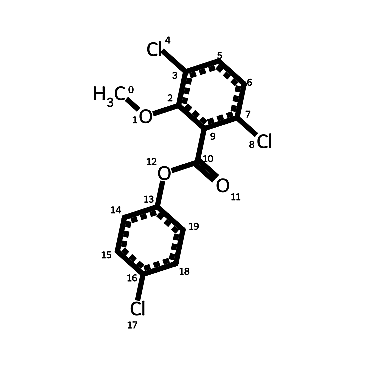 COc1c(Cl)ccc(Cl)c1C(=O)Oc1ccc(Cl)cc1